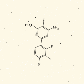 Nc1cc(-c2ccc(Br)c(F)c2F)nc(C(=O)O)c1Cl